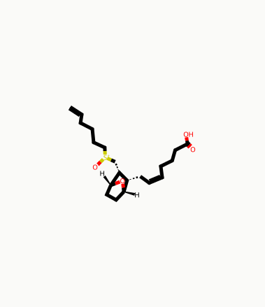 C=CCCCC[S+]([O-])C[C@@H]1[C@H](C/C=C\CCCC(=O)O)[C@@H]2CC[C@H]1O2